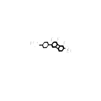 C=CC1CCC(c2cc3c(c(F)c2F)-c2c-3ccc(OCC)c2F)CC1